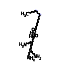 CCCCC/C=C\C/C=C\CCCCCCCCC(=O)CNC(=O)NCCCN(CCCN)CCCCN(CCCN)CCCN